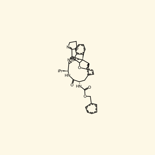 CC(C)[C@@H]1NC(=O)[C@@H](NC(=O)OCc2ccccc2)Cc2ccc3c(c2)[C@@]2(c4ccccc4NC2O3)c2oc1nc2C1=NCCO1